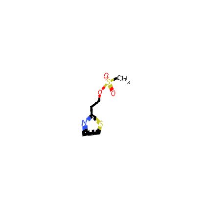 CS(=O)(=O)OCCc1nccs1